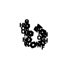 CN(C[C@H]1CC[C@H](n2cc(NC(=O)c3cnn4ccc(N5CCCC56CC6)nc34)c(C(F)F)n2)CC1)C1CCN(c2cccc3c2n(C)c(=O)n3C2CCC(=O)NC2=O)CC1(F)F